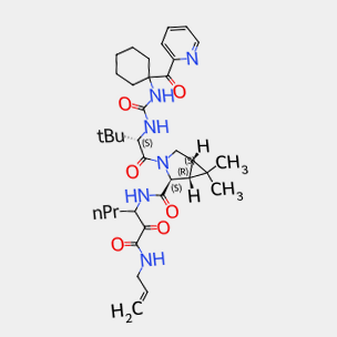 C=CCNC(=O)C(=O)C(CCC)NC(=O)[C@@H]1[C@@H]2[C@H](CN1C(=O)[C@@H](NC(=O)NC1(C(=O)c3ccccn3)CCCCC1)C(C)(C)C)C2(C)C